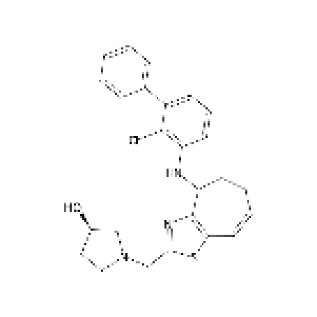 C=C1CC=Cc2sc(CN3CC[C@@H](O)C3)nc2C1Nc1cccc(-c2ccccc2)c1Cl